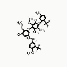 CCSc1ccc(N)cc1Cl.COc1c(Cl)cc(N)c(C)c1Cl.COc1ccc(N)cc1C(F)(F)F.Nc1ccc(C(F)(F)F)c(Cl)c1